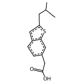 CC(C)Cc1cc2ccc(CC(=O)O)cc2s1